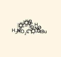 CC(C)(C)OC(=O)Nc1cccc(CC(=O)O)c1OCc1coc2ccc(-c3cccc(CN)c3)cc12